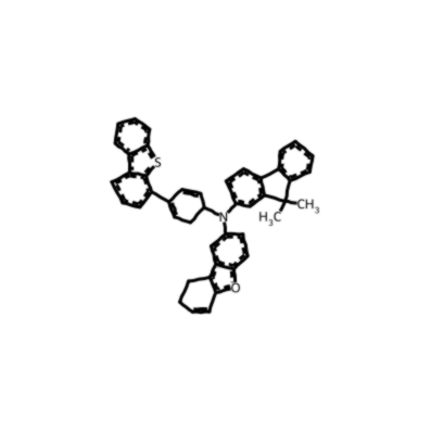 CC1(C)c2ccccc2-c2ccc(N(c3ccc4oc5c(c4c3)CCC=C5)C3C=CC(c4cccc5c4sc4ccccc45)=CC3)cc21